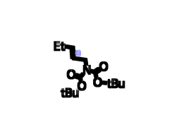 CC/C=C/CN(C(=O)OC(C)(C)C)C(=O)OC(C)(C)C